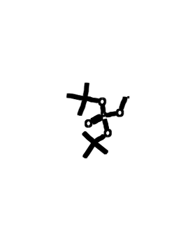 [CH2]OP(=O)(OC(C)(C)C)OC(C)(C)C